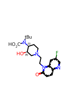 CC(C)(C)N(C(=O)O)[C@H]1CCN(CCn2c(=O)ccc3ncc(F)cc32)C[C@H]1O